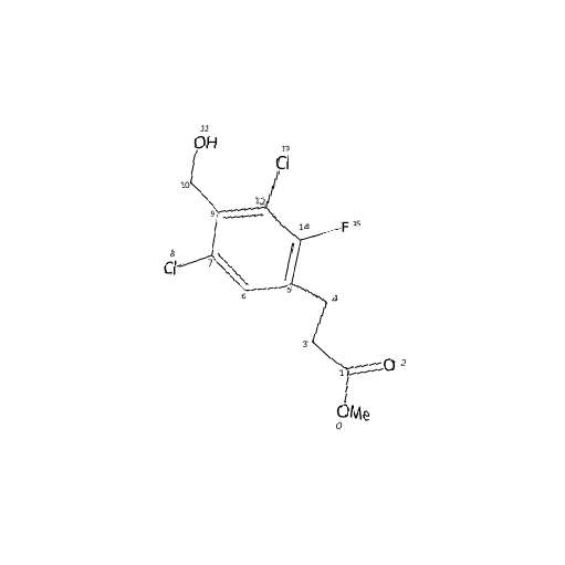 COC(=O)CCc1cc(Cl)c(CO)c(Cl)c1F